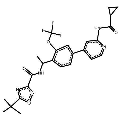 CC(NC(=O)c1noc(C(C)(C)C)n1)c1ccc(-c2ccnc(NC(=O)C3CC3)c2)cc1OC(F)(F)F